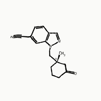 C[C@]1(Cn2ncc3ccc(C#N)cc32)CCCC(=O)C1